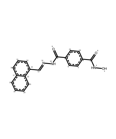 O=C(NO)c1ccc(C(=O)N/N=C/c2cccc3ccccc23)cc1